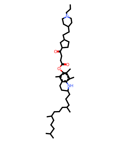 CCCN1CCC(CCC2CCC(C(=O)CCC(=O)Oc3c(C)c(C)c4c(c3C)CCC(CCCC(C)CCCC(C)CCCC(C)C)N4)C2)CC1